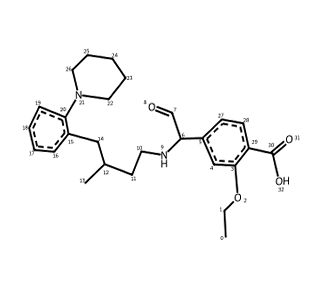 CCOc1cc(C(C=O)NCCC(C)Cc2ccccc2N2CCCCC2)ccc1C(=O)O